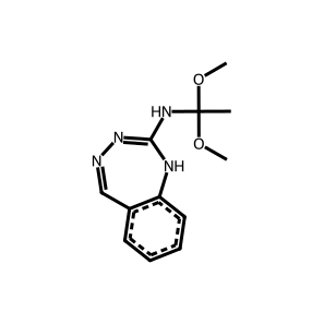 COC(C)(NC1=NN=Cc2ccccc2N1)OC